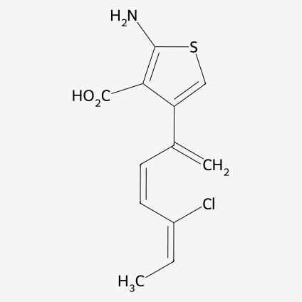 C=C(/C=C\C(Cl)=C/C)c1csc(N)c1C(=O)O